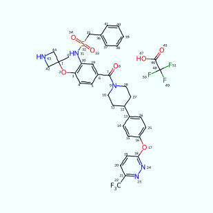 CC1(Oc2ccc(C(=O)N3CCC(c4ccc(Oc5ccc(C(F)(F)F)nn5)cc4)CC3)cc2NS(=O)(=O)Cc2ccccc2)CNC1.O=C(O)C(F)(F)F